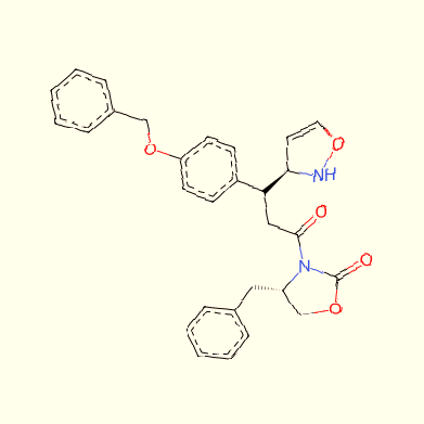 O=C(CC(c1ccc(OCc2ccccc2)cc1)[C@H]1C=CON1)N1C(=O)OC[C@@H]1Cc1ccccc1